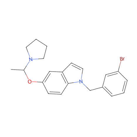 CC(Oc1ccc2c(ccn2Cc2cccc(Br)c2)c1)N1CCCC1